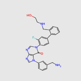 NCc1cccc(-n2cnc3ncn(-c4ccc(-c5ccccc5CNCCO)cc4F)c(=O)c32)c1